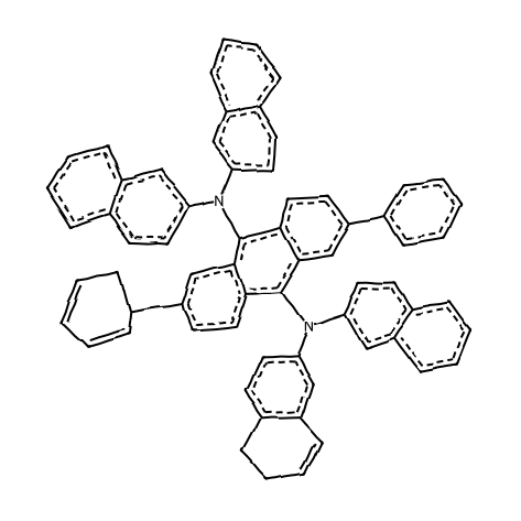 C1=CCC(c2ccc3c(N(c4ccc5c(c4)C=CCC5)c4ccc5ccccc5c4)c4cc(-c5ccccc5)ccc4c(N(c4ccc5ccccc5c4)c4ccc5ccccc5c4)c3c2)C=C1